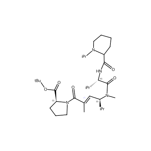 C/C(=C\[C@H](C(C)C)N(C)C(=O)[C@@H](NC(=O)C1CCCCN1C(C)C)C(C)C)C(=O)N1CCC[C@H]1C(=O)OC(C)(C)C